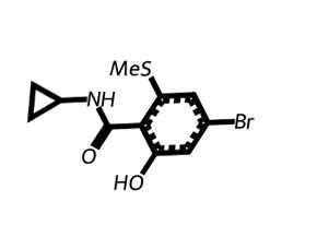 CSc1cc(Br)cc(O)c1C(=O)NC1CC1